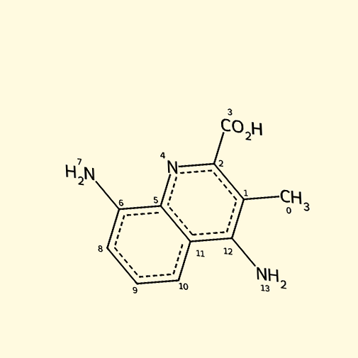 Cc1c(C(=O)O)nc2c(N)cccc2c1N